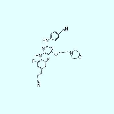 N#CC=Cc1cc(F)c(Nc2cc(OCCCN3CCOCC3)nc(Nc3ccc(C#N)cc3)n2)c(F)c1